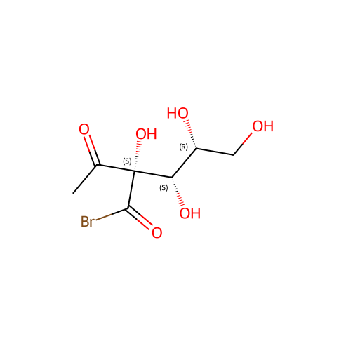 CC(=O)[C@](O)(C(=O)Br)[C@@H](O)[C@H](O)CO